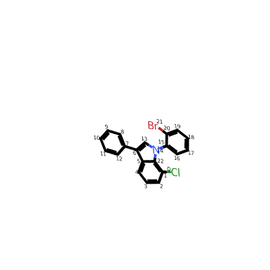 Clc1cccc2c(-c3ccccc3)cn(-c3ccccc3Br)c12